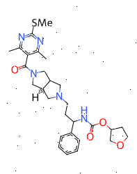 CSc1nc(C)c(C(=O)N2CC3CN(CCC(NC(=O)OC4CCOC4)c4ccccc4)C[C@H]3C2)c(C)n1